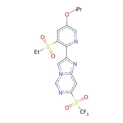 CCS(=O)(=O)c1cc(OC(C)C)cnc1-c1cn2cnc(S(=O)(=O)C(F)(F)F)cc2n1